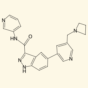 O=C(Nc1cccnc1)c1n[nH]c2ccc(-c3cncc(CN4CCC4)c3)cc12